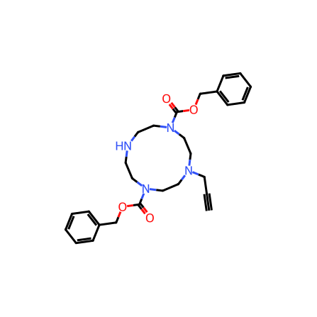 C#CCN1CCN(C(=O)OCc2ccccc2)CCNCCN(C(=O)OCc2ccccc2)CC1